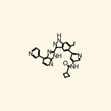 O=C(Nc1cncc(-c2cc3c(-c4nc5c(-c6cccnc6)ccnc5[nH]4)n[nH]c3cc2F)c1)C1CCC1